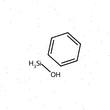 O[SiH3].c1ccccc1